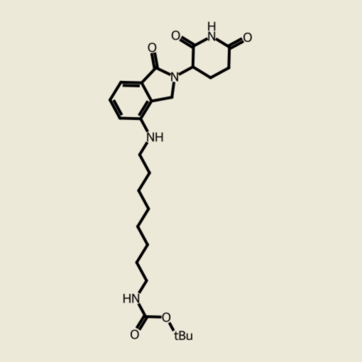 CC(C)(C)OC(=O)NCCCCCCCCNc1cccc2c1CN(C1CCC(=O)NC1=O)C2=O